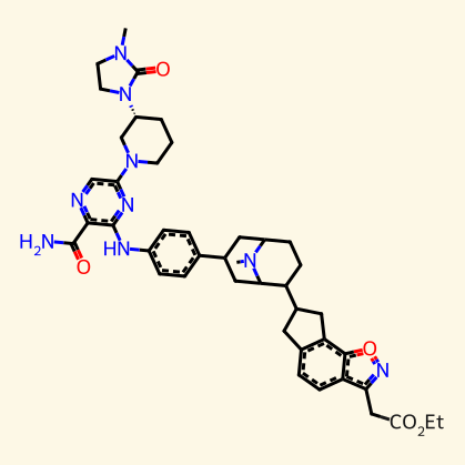 CCOC(=O)Cc1noc2c3c(ccc12)CC(C1CCC2CC(c4ccc(Nc5nc(N6CCC[C@@H](N7CCN(C)C7=O)C6)cnc5C(N)=O)cc4)CC1N2C)C3